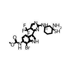 COC(=O)Nc1ccc2c(-c3nc(N[C@H]4CCC[C@](N)(S)C4)ncc3C(F)(F)F)c[nH]c2c1Br